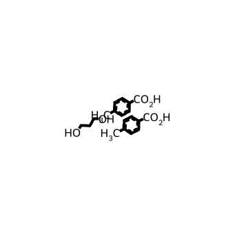 Cc1ccc(C(=O)O)cc1.Cc1ccc(C(=O)O)cc1.OCCCO